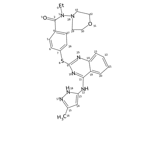 CCN(C(=O)c1ccc(Sc2nc(Nc3cc(C)n[nH]3)c3ccccc3n2)cc1)N1CCOCC1